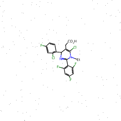 CCN1C(c2c(F)cc(F)cc2F)=NC(c2ccc(F)cc2Cl)C(CC(=O)O)=C1Cl